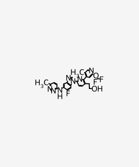 Cc1ccc(Nc2cc3ncn(-c4ccc(CCO)c(-c5cc(OC(F)F)ncc5C)n4)c3cc2F)nn1